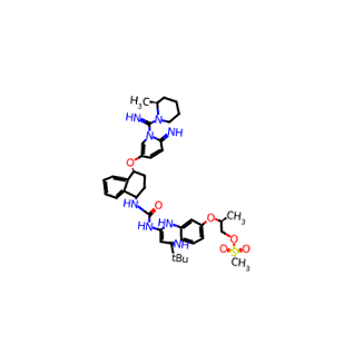 C[C@@H](COS(C)(=O)=O)Oc1cccc(N/C(=C\C(=N)C(C)(C)C)NC(=O)N[C@H]2CC[C@@H](Oc3ccc(=N)n(C(=N)N4CCCC[C@@H]4C)c3)c3ccccc32)c1